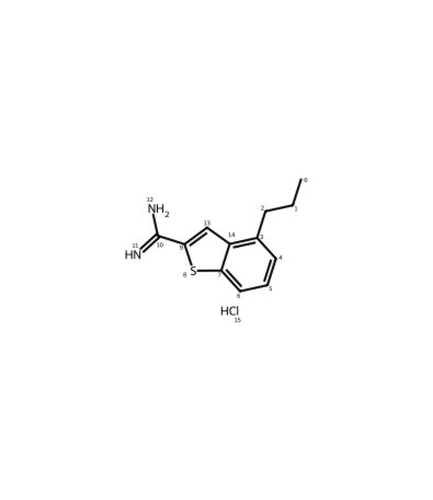 CCCc1cccc2sc(C(=N)N)cc12.Cl